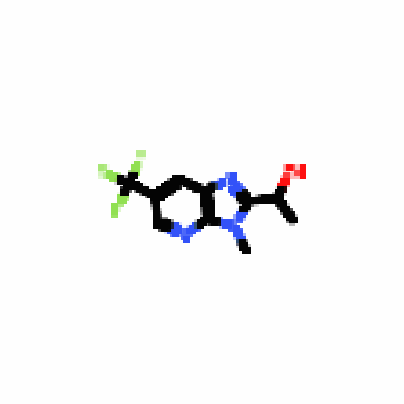 CC(O)c1nc2cc(C(F)(F)F)cnc2n1C